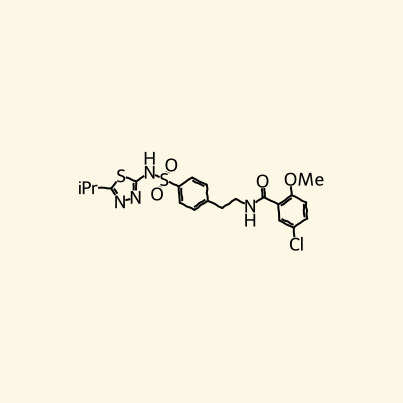 COc1ccc(Cl)cc1C(=O)NCCc1ccc(S(=O)(=O)Nc2nnc(C(C)C)s2)cc1